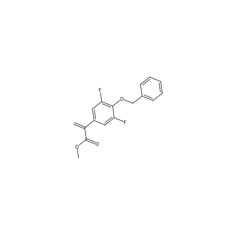 C=C(C(=O)OC)c1cc(F)c(OCc2ccccc2)c(F)c1